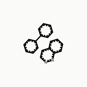 c1ccc(-c2ccccc2)cc1.c1ccc2nnccc2c1